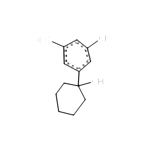 Cc1[c]c(C2(C)CCCCC2)cc(C)c1